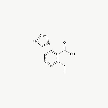 CCc1ncccc1C(=O)O.c1c[nH]cn1